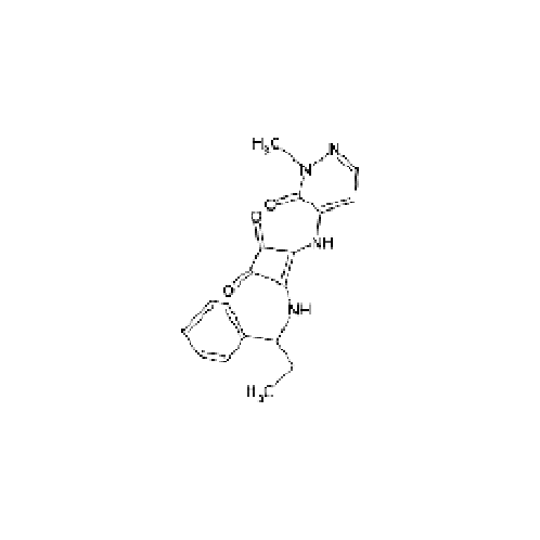 CCC(Nc1c(Nc2ccnn(C)c2=O)c(=O)c1=O)c1ccccc1